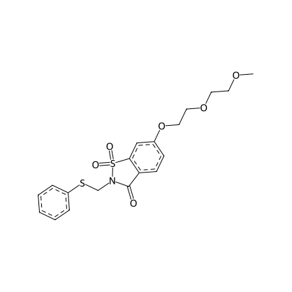 COCCOCCOc1ccc2c(c1)S(=O)(=O)N(CSc1ccccc1)C2=O